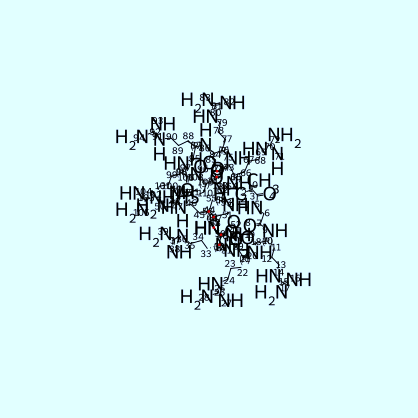 CC(C)C(=O)NCC(=O)N[C@H](CCCNC(=N)N)C(=O)N[C@H](CCCNC(=N)N)C(=O)N[C@H](CCCNC(=N)N)C(=O)N[C@H](CCCNC(=N)N)C(=O)N[C@H](CCCNC(=N)N)C(=O)N[C@H](CCCNC(=N)N)C(=O)N[C@H](CCCNC(=N)N)C(=O)N[C@H](CCCNC(=N)N)C(=O)N[C@H](CCCNC(=N)N)C(=O)N[C@H](CS)C(N)=O